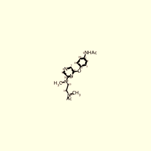 CC(=O)Nc1ccc(Oc2cncc(N(C)CCN(C)C(C)=O)n2)cc1